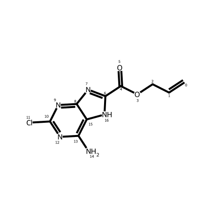 C=CCOC(=O)c1nc2nc(Cl)nc(N)c2[nH]1